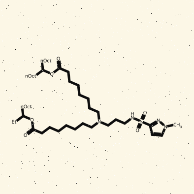 CCCCCCCCC(CC)OC(=O)CCCCCCCN(CCCCCCCC(=O)OC(CCCCCCCC)CCCCCCCC)CCCNS(=O)(=O)c1ccn(C)n1